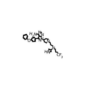 Nc1ncnc2c1c(-c1ccc(Oc3ccccc3)cc1)nn2C1CCN(CCCN(CCCC(F)(F)F)C2CNC2)CC1